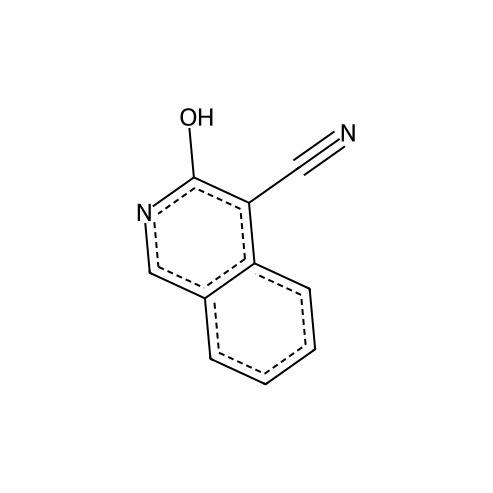 N#Cc1c(O)ncc2ccccc12